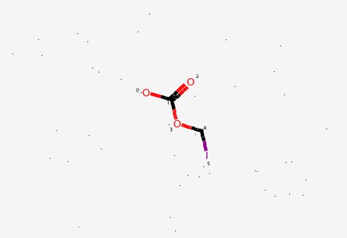 [O]C(=O)OCI